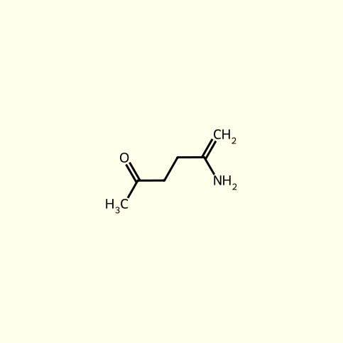 C=C(N)CCC(C)=O